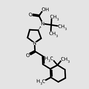 CC1=C(C=CC(=O)N2CC[C@H](N(C(=O)O)C(C)(C)C)C2)C(C)(C)CCC1